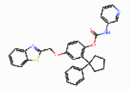 O=C(Nc1cccnc1)Oc1ccc(OCc2nc3ccccc3s2)cc1C1(c2ccccc2)CCCC1